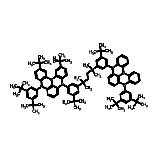 CC(C)(C)c1cc(N2c3ccccc3B3c4ccccc4N(c4cc(C(C)(C)C)cc(C(C)(C)CCC(C)(C)c5cc(N6c7ccc(C(C)(C)C)cc7B7c8cc(C(C)(C)C)ccc8N(c8cc(C(C)(C)C)cc(C(C)(C)C)c8)c8cccc6c87)cc(C(C)(C)C)c5)c4)c4cccc2c43)cc(C(C)(C)C)c1